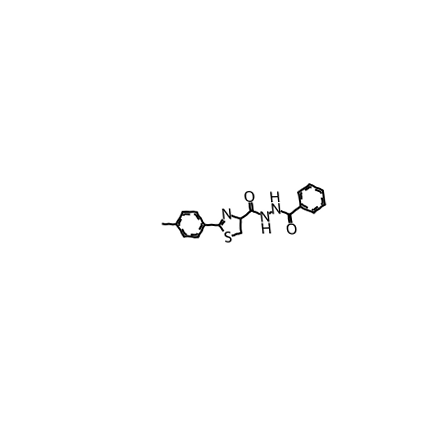 Cc1ccc(C2=NC(C(=O)NNC(=O)c3ccccc3)CS2)cc1